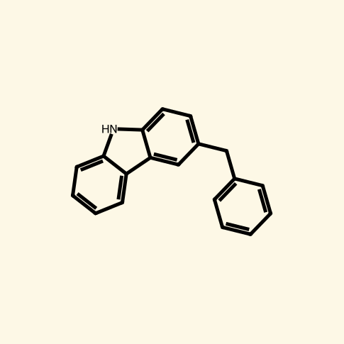 c1ccc(Cc2ccc3[nH]c4ccccc4c3c2)cc1